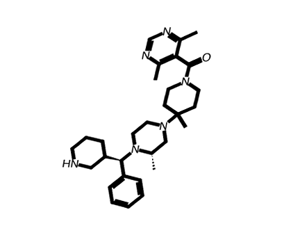 Cc1ncnc(C)c1C(=O)N1CCC(C)(N2CCN([C@@H](c3ccccc3)C3CCCNC3)[C@@H](C)C2)CC1